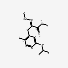 CO/N=C(\Cc1cc(OC(C)C)ccc1C)C(=O)OC